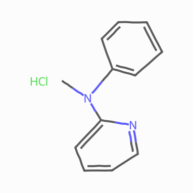 CN(c1ccccc1)c1ccccn1.Cl